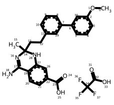 COc1cccc(-c2cccc(CCC3(C)N=C(N)c4ccc(C(=O)O)cc4N3)c2)c1.O=C(O)C(F)(F)F